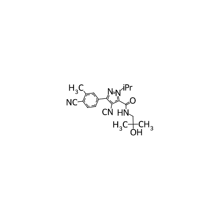 Cc1cc(-c2nn(C(C)C)c(C(=O)NCC(C)(C)O)c2C#N)ccc1C#N